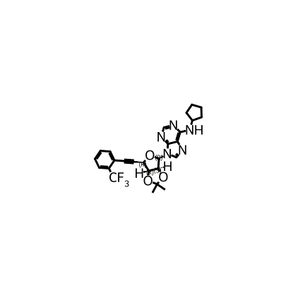 CC1(C)O[C@H]2[C@H](O1)[C@@H](C#Cc1ccccc1C(F)(F)F)O[C@H]2n1cnc2c(NC3CCCC3)ncnc21